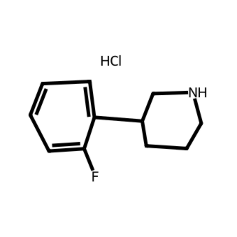 Cl.Fc1ccccc1C1CCCNC1